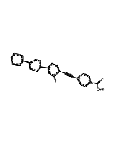 COC(=O)c1ccc(C#Cc2ccc(-c3ccc(-c4ccccc4)cc3)cc2F)cc1